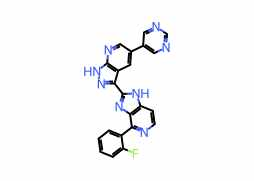 Fc1ccccc1-c1nccc2[nH]c(-c3n[nH]c4ncc(-c5cncnc5)cc34)nc12